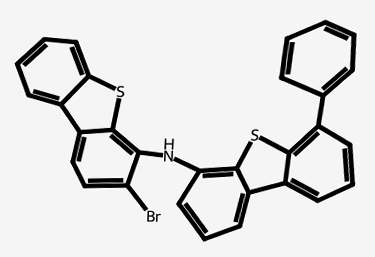 Brc1ccc2c(sc3ccccc32)c1Nc1cccc2c1sc1c(-c3ccccc3)cccc12